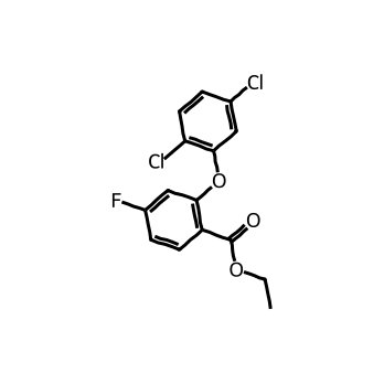 CCOC(=O)c1ccc(F)cc1Oc1cc(Cl)ccc1Cl